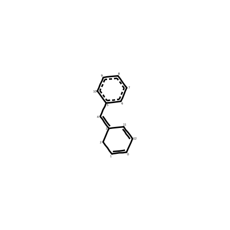 C1=CCC(=Cc2ccccc2)C=C1